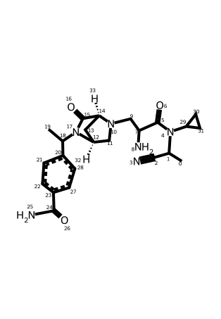 CC(C#N)N(C(=O)C(N)CN1C[C@@H]2C[C@H]1C(=O)N2C(C)c1ccc(C(N)=O)cc1)C1CC1